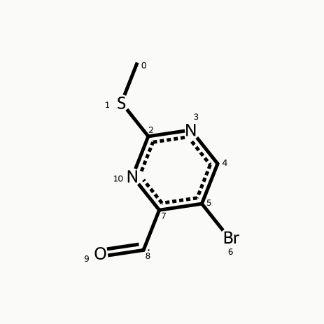 CSc1ncc(Br)c([C]=O)n1